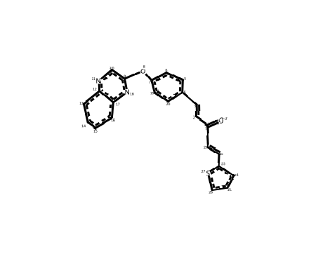 O=C(C=Cc1ccc(Oc2cnc3ccccc3n2)cc1)C=Cc1cccs1